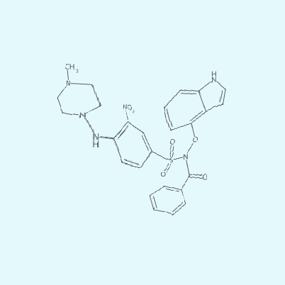 CN1CCN(Nc2ccc(S(=O)(=O)N(Oc3cccc4[nH]ccc34)C(=O)c3ccccc3)cc2[N+](=O)[O-])CC1